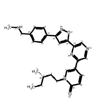 CC[C@H](C)CCn1cc(-c2cncc(-c3cc(-c4ccc(CNC)cc4)no3)n2)ccc1=O